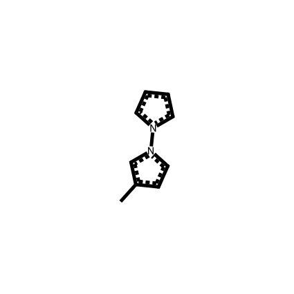 Cc1ccn(-n2cccc2)c1